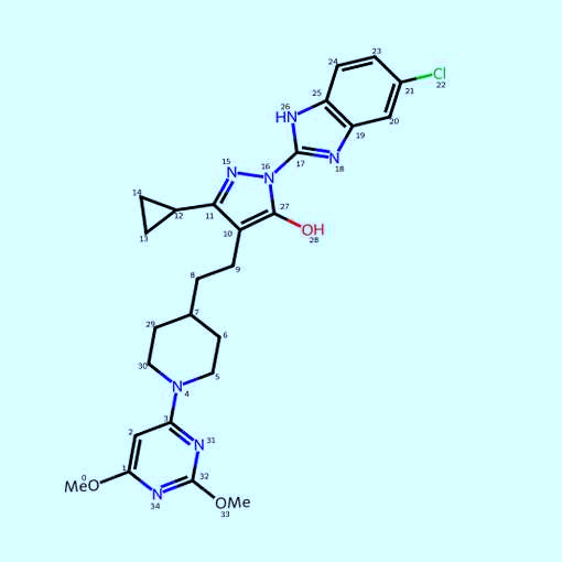 COc1cc(N2CCC(CCc3c(C4CC4)nn(-c4nc5cc(Cl)ccc5[nH]4)c3O)CC2)nc(OC)n1